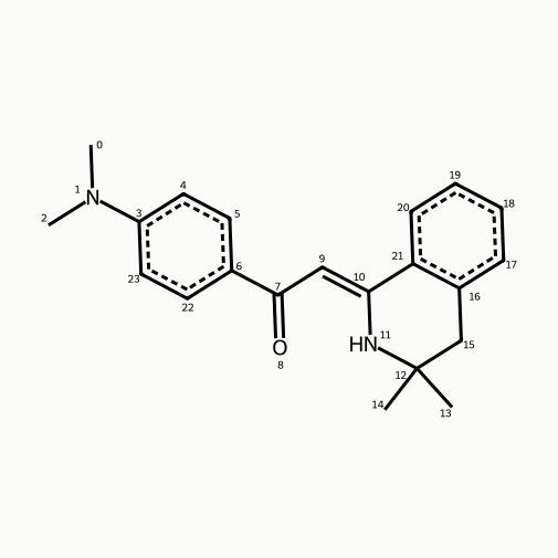 CN(C)c1ccc(C(=O)/C=C2\NC(C)(C)Cc3ccccc32)cc1